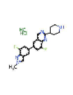 Cl.Cl.Cn1cc2cc(-c3cc(F)c4nc(C5CCNCC5)ncc4c3)cc(F)c2n1